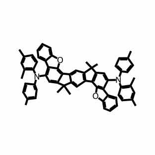 Cc1ccc(N(c2ccc(C)cc2C)c2cc3c(c4oc5ccccc5c24)-c2cc4c(cc2C3(C)C)-c2c(cc(N(c3ccc(C)cc3)c3ccc(C)cc3C)c3c2oc2ccccc23)C4(C)C)cc1